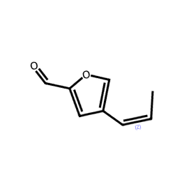 C/C=C\c1coc(C=O)c1